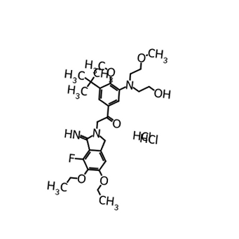 CCOc1cc2c(c(F)c1OCC)C(=N)N(CC(=O)c1cc(N(CCO)CCOC)c(OC)c(C(C)(C)C)c1)C2.Cl.Cl